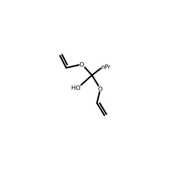 C=COC(O)(CCC)OC=C